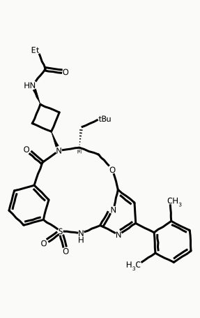 CCC(=O)N[C@H]1C[C@@H](N2C(=O)c3cccc(c3)S(=O)(=O)Nc3nc(cc(-c4c(C)cccc4C)n3)OC[C@H]2CC(C)(C)C)C1